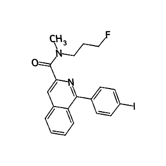 CN(CCCF)C(=O)c1cc2ccccc2c(-c2ccc(I)cc2)n1